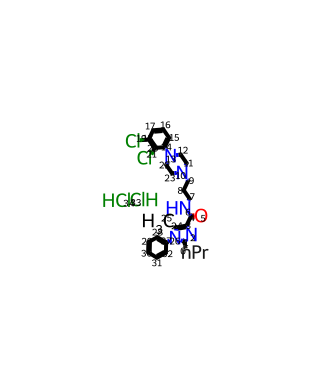 CCCc1nc(C(=O)NCCCN2CCN(c3cccc(Cl)c3Cl)CC2)c(C)n1-c1ccccc1.Cl.Cl